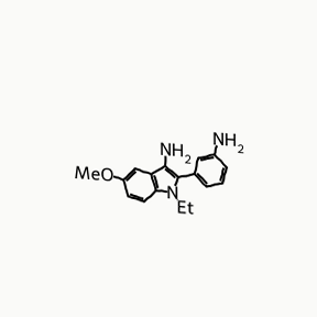 CCn1c(-c2cccc(N)c2)c(N)c2cc(OC)ccc21